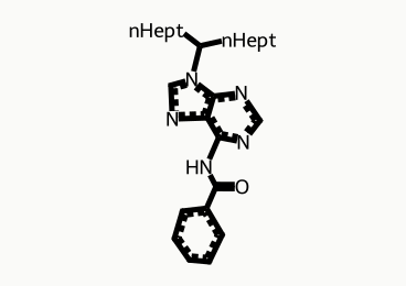 CCCCCCCC(CCCCCCC)n1cnc2c(NC(=O)c3ccccc3)ncnc21